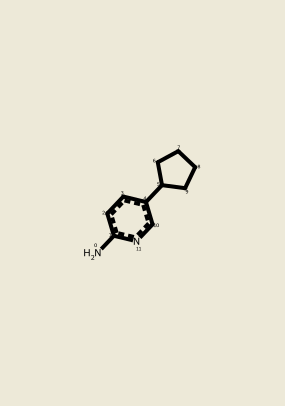 Nc1ccc(C2CCCC2)cn1